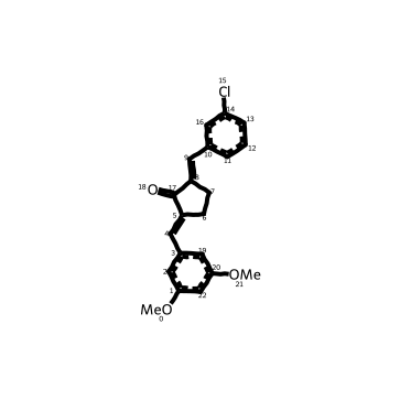 COc1cc(/C=C2\CC/C(=C\c3cccc(Cl)c3)C2=O)cc(OC)c1